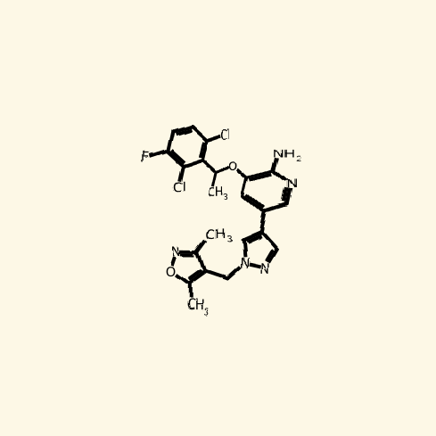 Cc1noc(C)c1Cn1cc(-c2cnc(N)c(OC(C)c3c(Cl)ccc(F)c3Cl)c2)cn1